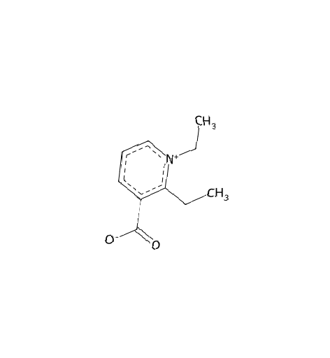 CCc1c(C(=O)[O-])ccc[n+]1CC